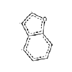 [c]1[c]c2[c]cccc2o1